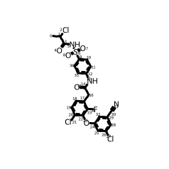 CC(Cl)C(=O)NS(=O)(=O)c1ccc(NC(=O)Cc2ccc(Cl)c(Oc3cc(Cl)cc(C#N)c3)c2F)cc1